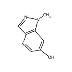 Cn1ncc2ncc(O)cc21